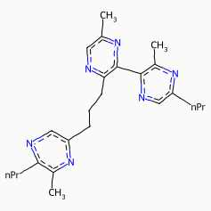 CCCc1cnc(-c2nc(C)cnc2CCCc2cnc(CCC)c(C)n2)c(C)n1